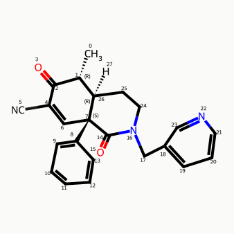 C[C@H]1C(=O)C(C#N)=C[C@@]2(c3ccccc3)C(=O)N(Cc3cccnc3)CC[C@H]12